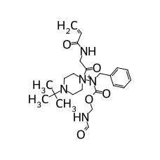 C=CC(=O)NCC(=O)[N+]1(N(Cc2ccccc2)C(=O)OCNC=O)CCN(C(C)(C)C)CC1